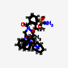 CCCC(=O)c1c(C(=O)N2CCC(CCN3C4CCC3CC(n3c(C)nc5ccccc53)C4)(c3ccccc3)CC2)cccc1S(N)(=O)=O